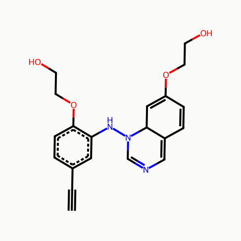 C#Cc1ccc(OCCO)c(NN2C=NC=C3C=CC(OCCO)=CC32)c1